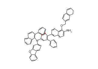 Nc1ccc2cc(-c3ccc(N(c4ccc5c(c4)oc4ccccc45)c4c(-c5ccccc5)ccc5ccccc45)cc3-c3ccccc3)ccc2c1OCc1ccc2c(c1)CCC=C2